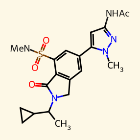 CNS(=O)(=O)c1cc(-c2cc(NC(C)=O)nn2C)cc2c1C(=O)N(C(C)C1CC1)C2